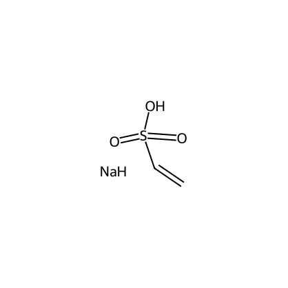 C=CS(=O)(=O)O.[NaH]